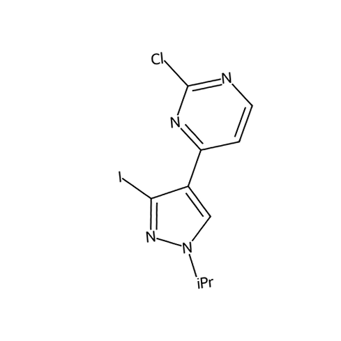 CC(C)n1cc(-c2ccnc(Cl)n2)c(I)n1